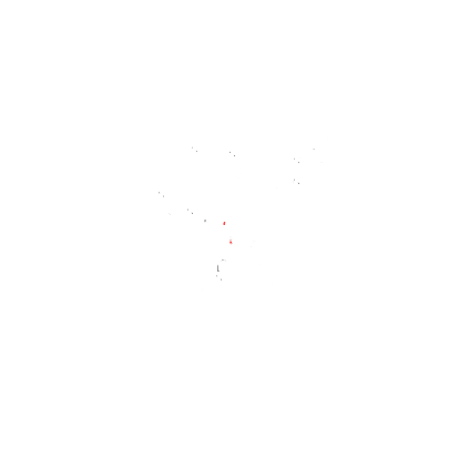 [2H]C([2H])([2H])n1cc(-c2[nH]c3ncc4c(c3c2-c2ccc3c(c2)COC3(C)C)n([C@@H]2CC[C@@H](NC(=O)OC)C2)c(=O)n4C)c(F)n1